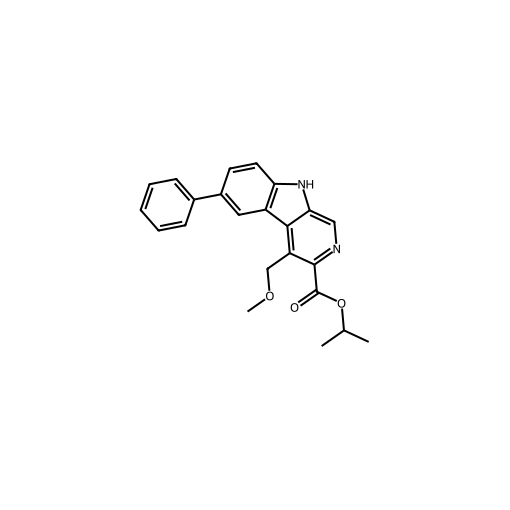 COCc1c(C(=O)OC(C)C)ncc2[nH]c3ccc(-c4ccccc4)cc3c12